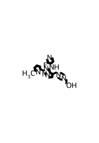 Cc1cccc(-c2nc(Nc3ccncc3F)c3c(CN4CCN(CCO)CC4)ccn3n2)n1